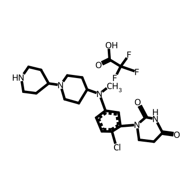 CN(c1ccc(Cl)c(N2CCC(=O)NC2=O)c1)C1CCN(C2CCNCC2)CC1.O=C(O)C(F)(F)F